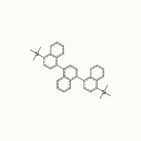 C[Si](C)(C)c1ccc(-c2ccc(-c3ccc([Si](C)(C)C)c4ccccc34)c3ccccc23)c2ccccc12